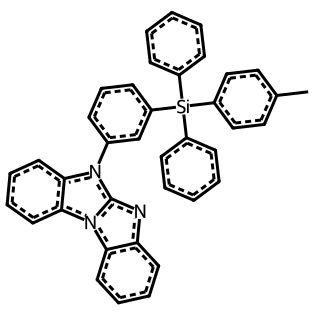 Cc1ccc([Si](c2ccccc2)(c2ccccc2)c2cccc(-n3c4ccccc4n4c5ccccc5nc34)c2)cc1